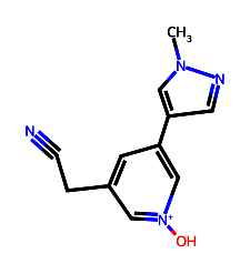 Cn1cc(-c2cc(CC#N)c[n+](O)c2)cn1